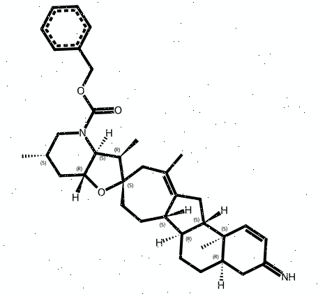 CC1=C2C[C@H]3[C@@H](CC[C@@H]4CC(=N)C=C[C@@]43C)[C@@H]2CC[C@@]2(C1)O[C@@H]1C[C@H](C)CN(C(=O)OCc3ccccc3)[C@H]1[C@H]2C